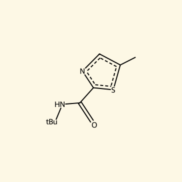 Cc1cnc(C(=O)NC(C)(C)C)s1